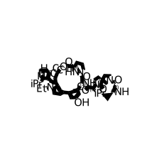 CCn1c(-c2cccnc2C(C)C)c2c3cc(ccc31)-c1cc(O)cc(c1)C[C@H](NC(=O)[C@H](C(C)C)N1CC[C@]3(CCN(C(=O)[C@@H]4N[C@@H]4C4CC4)C3)C1=O)C(=O)N1CCC[C@H](N1)C(=O)OCC(C)(C)C2